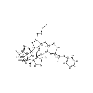 CCCCC1CC(C23C[C@@H]4[C@H](C)CC[C@H]4C4(C=O)CC2C=C(C(C)C)C34C(=O)O)OC1CN1CCC(N(C)Cc2ccccn2)CC1